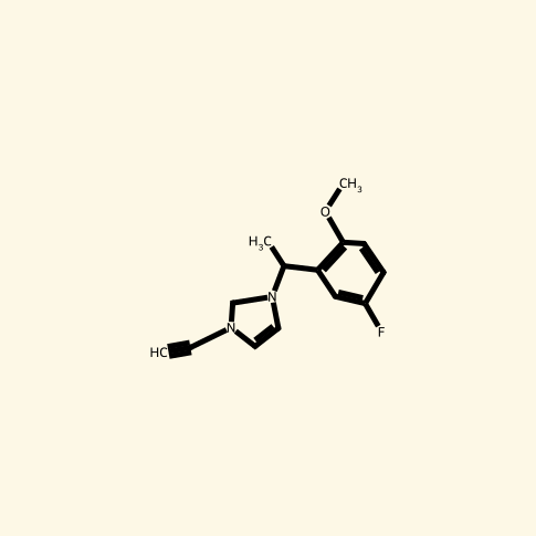 C#CN1C=CN(C(C)c2cc(F)ccc2OC)C1